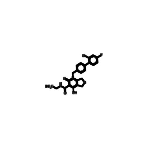 O=C(O)CNC(=O)c1c(O)c2c(n(Cc3ccc(-c4ccc(F)cc4Cl)cc3)c1=O)COC2